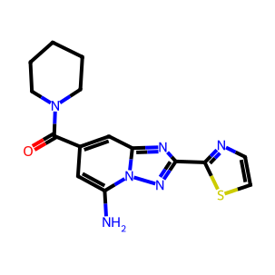 Nc1cc(C(=O)N2CCCCC2)cc2nc(-c3nccs3)nn12